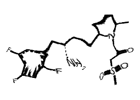 CC1CCC(CC[C@H](N)Cc2cc(F)c(F)cc2F)N1C(=O)CS(C)(=O)=O